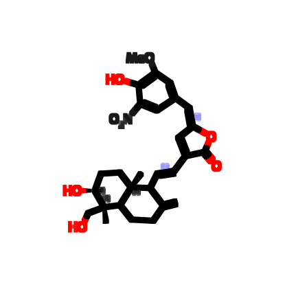 C=C1CCC2[C@](C)(CC[C@@H](O)[C@@]2(C)CO)C1/C=C/C1=CC(=C\c2cc(OC)c(O)c([N+](=O)[O-])c2)/OC1=O